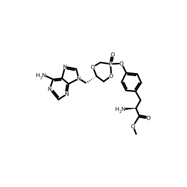 COC(=O)[C@@H](N)Cc1ccc(OP2(=O)CO[C@@H](Cn3cnc4c(N)ncnc43)CO2)cc1